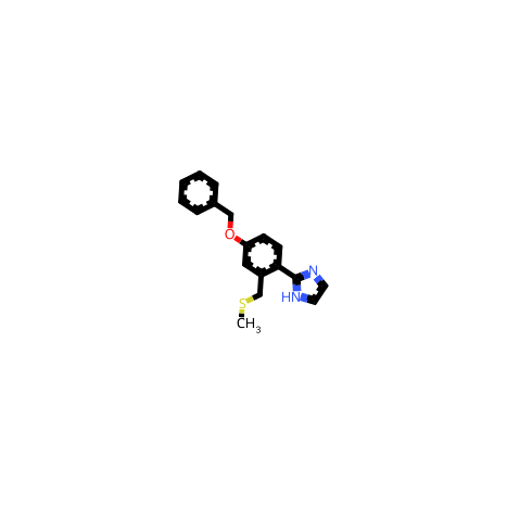 CSCc1cc(OCc2ccccc2)ccc1-c1ncc[nH]1